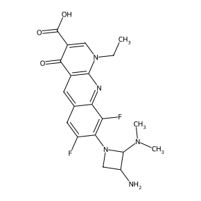 CCn1cc(C(=O)O)c(=O)c2cc3cc(F)c(N4CC(N)C4N(C)C)c(F)c3nc21